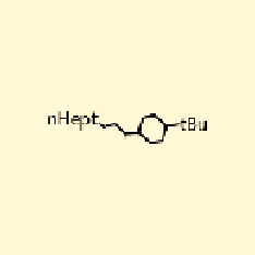 CCCCCCCCC[CH]C1CCC(C(C)(C)C)CC1